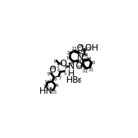 Br.CCO[C@@H](CCC[C@H](C=O)C1CCNCC1)N[C@H]1CCC=C[N@@+](CC(=O)O)(c2ccccc2)C1=O